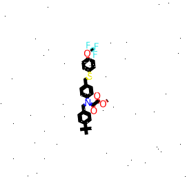 COC(=O)C(=O)N(Cc1ccc(C(C)(C)C)cc1)c1ccc(CSc2ccc(OC(F)(F)F)cc2)cc1